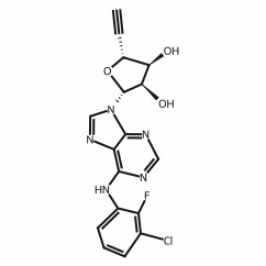 C#C[C@H]1O[C@@H](n2cnc3c(Nc4cccc(Cl)c4F)ncnc32)[C@H](O)[C@@H]1O